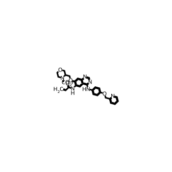 C=CC(=O)Nc1cc2c(Nc3ccc(OCc4ccccn4)cc3)ncnc2cc1OCC1COCCN1C(=O)O